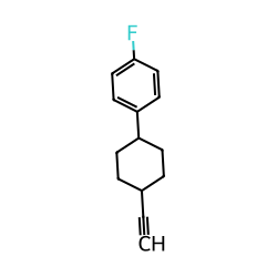 C#CC1CCC(c2ccc(F)cc2)CC1